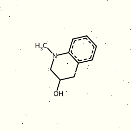 CN1[C]C(O)Cc2ccccc21